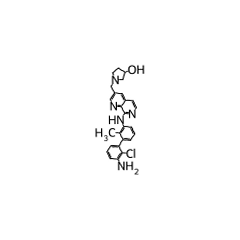 Cc1c(Nc2nccc3cc(CN4CC[C@@H](O)C4)cnc23)cccc1-c1cccc(N)c1Cl